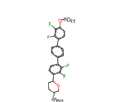 CCCCCCCCOc1ccc(-c2ccc(-c3ccc(C4CCC(CCCCC)CO4)c(F)c3F)cc2)c(F)c1F